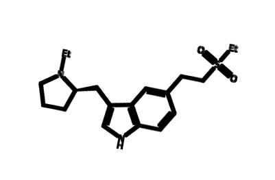 CCN1CCC[C@@H]1Cc1c[nH]c2ccc(CCS(=O)(=O)CC)cc12